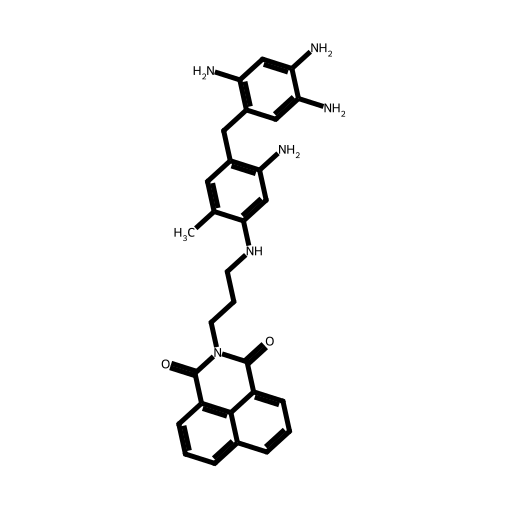 Cc1cc(Cc2cc(N)c(N)cc2N)c(N)cc1NCCCN1C(=O)c2cccc3cccc(c23)C1=O